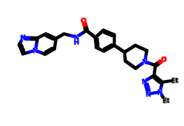 CCc1c(C(=O)N2CCC(c3ccc(C(=O)NCc4ccn5ccnc5c4)cc3)CC2)nnn1CC